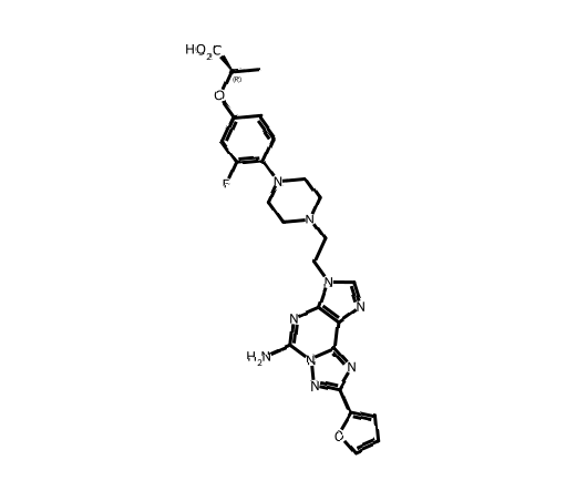 C[C@@H](Oc1ccc(N2CCN(CCn3cnc4c3nc(N)n3nc(-c5ccco5)nc43)CC2)c(F)c1)C(=O)O